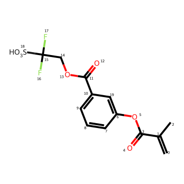 C=C(C)C(=O)Oc1cccc(C(=O)OCC(F)(F)S(=O)(=O)O)c1